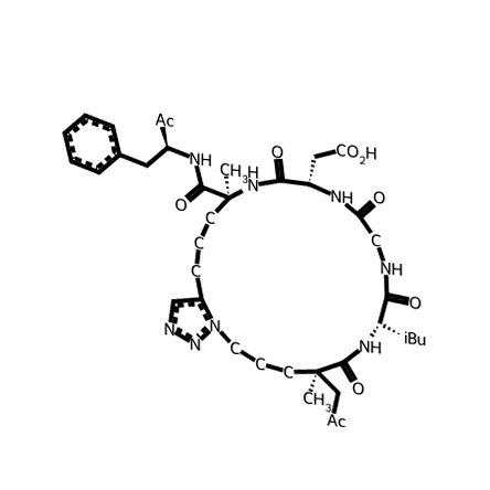 CC[C@@H](C)[C@@H]1NC(=O)[C@@](C)(CC(C)=O)CCCn2nncc2CCC[C@@](C)(C(=O)N[C@@H](Cc2ccccc2)C(C)=O)NC(=O)[C@H](CC(=O)O)NC(=O)CNC1=O